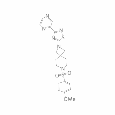 COc1ccc(S(=O)(=O)N2CCC3(CC2)CN(c2nc(-c4cnccn4)ns2)C3)cc1